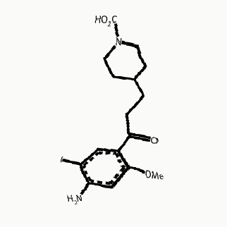 COc1cc(N)c(I)cc1C(=O)CCC1CCN(C(=O)O)CC1